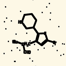 CC(C)(C)OC=O.Cc1cc(Br)sc1C1CCCNC1